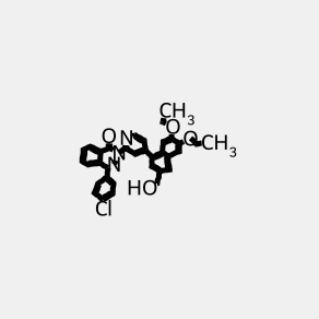 CCOc1cc2cc(CO)cc(-c3ccnc(-n4nc(-c5ccc(Cl)cc5)c5ccccc5c4=O)c3)c2cc1OCC